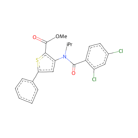 COC(=O)c1sc(-c2ccccc2)cc1N(C(=O)c1ccc(Cl)cc1Cl)C(C)C